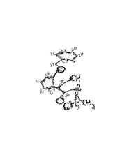 COC(=O)C(OC)C(O)c1ccccc1OCc1ccccc1